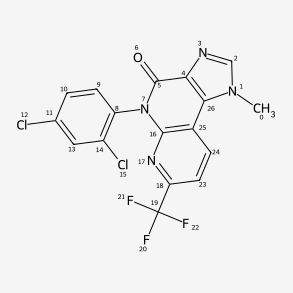 Cn1cnc2c(=O)n(-c3ccc(Cl)cc3Cl)c3nc(C(F)(F)F)ccc3c21